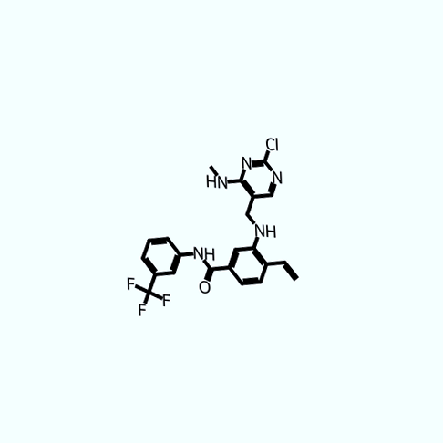 C=Cc1ccc(C(=O)Nc2cccc(C(F)(F)F)c2)cc1NCc1cnc(Cl)nc1NC